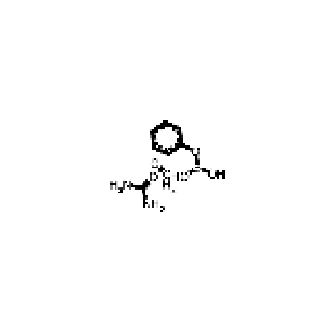 C=O.NC(N)=O.OB(O)Oc1ccccc1